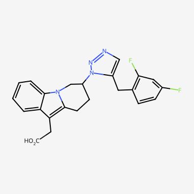 O=C(O)Cc1c2n(c3ccccc13)CC(n1nncc1Cc1ccc(F)cc1F)CC2